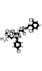 COC(C)(C)Cn1c(-c2ccc(Cl)cc2)nn(CC(=O)NCCc2c(Cl)cccc2Cl)c1=O